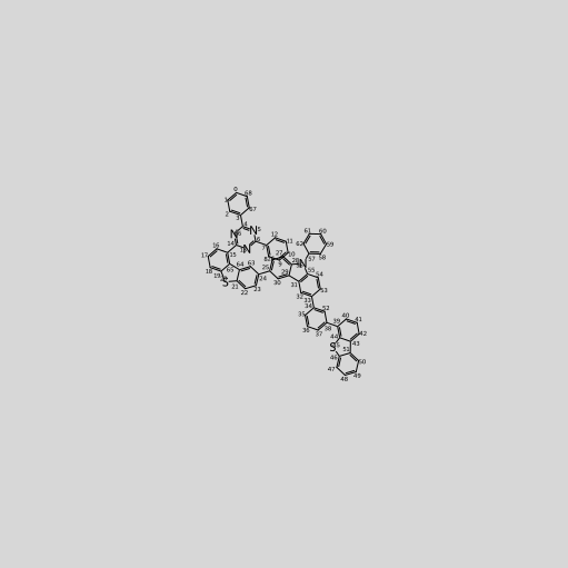 c1ccc(-c2nc(-c3ccccc3)nc(-c3cccc4sc5ccc(-c6ccc7c(c6)c6cc(-c8cccc(-c9cccc%10c9sc9ccccc9%10)c8)ccc6n7-c6ccccc6)cc5c34)n2)cc1